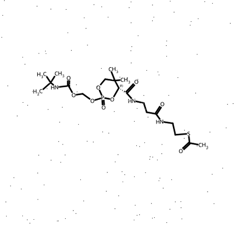 [CH2]C(C)(C)NC(=O)OCOP1(=O)OCC(C)(C)[C@H](C(=O)NCCC(=O)NCCSC(C)=O)O1